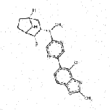 Cc1nc2c(O)c(-c3cnc(N(C)[C@H]4C[C@@H]5CCC(N5)[C@H]4F)cn3)ccc2o1